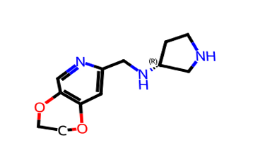 c1nc(CN[C@@H]2CCNC2)cc2c1OCCO2